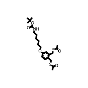 CC(=O)SCc1ccc(OCCCCCCNC(=O)OC(C)(C)C)cc1CSC(C)=O